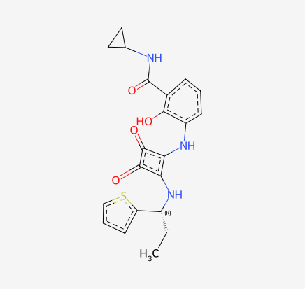 CC[C@@H](Nc1c(Nc2cccc(C(=O)NC3CC3)c2O)c(=O)c1=O)c1cccs1